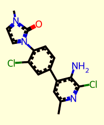 Cc1cc(-c2ccc(-n3ccn(C)c3=O)c(Cl)c2)c(N)c(Cl)n1